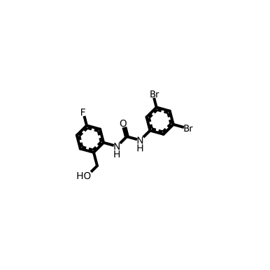 O=C(Nc1cc(Br)cc(Br)c1)Nc1cc(F)ccc1CO